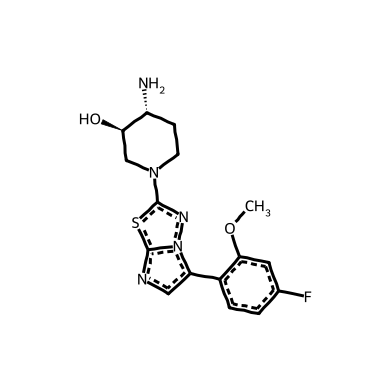 COc1cc(F)ccc1-c1cnc2sc(N3CC[C@@H](N)[C@H](O)C3)nn12